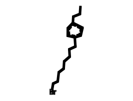 CCCc1ccc(CCCCCCCCBr)cc1